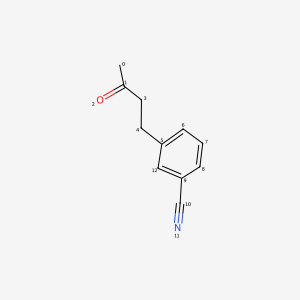 CC(=O)CCc1cccc(C#N)c1